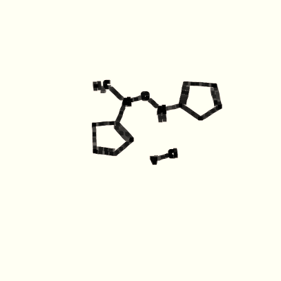 [CH3][Al]([O][AlH][C]1=CC=CC1)[C]1=CC=CC1.[Cl][V]